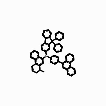 CC1CC=Cc2c1cc(N(c1ccc(-c3cc4ccccc4c4ccccc34)cc1)c1ccc3c(c1)C(c1ccccc1)(c1ccccc1)c1ccccc1-3)c1ccccc21